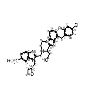 O=C(O)c1ccc2nc(CN3CCn4c(nc5c(Cc6ccc(Cl)cc6F)cccc54)C3CO)n(C[C@@H]3CCO3)c2c1